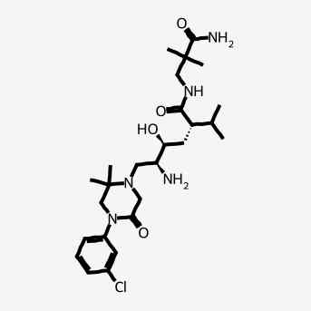 CC(C)[C@H](C[C@H](O)[C@@H](N)CN1CC(=O)N(c2cccc(Cl)c2)CC1(C)C)C(=O)NCC(C)(C)C(N)=O